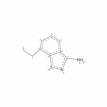 CCc1cccc2c(N)nsc12